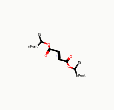 CCCCCC(CC)OC(=O)/C=C/C(=O)OC(CC)CCCCC